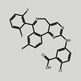 O=C(O)c1cc(Nc2ncc3c(n2)-c2ccc(I)cc2C(c2c(F)cccc2F)=NC3)ccc1Cl